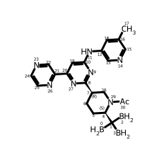 BC(B)(B)[C@H]1CC[C@@H](c2nc(Nc3cncc(C)c3)cc(-c3cnccn3)n2)CN1C(C)=O